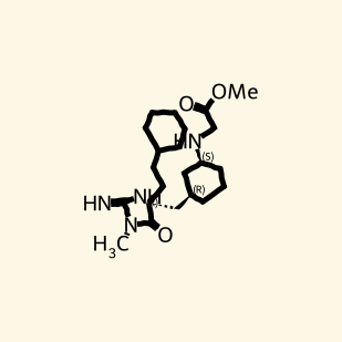 COC(=O)CN[C@H]1CCC[C@@H](C[C@@]2(CCC3CCCCC3)NC(=N)N(C)C2=O)C1